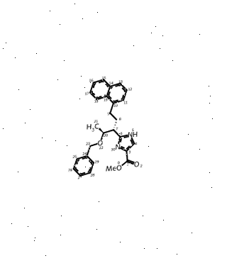 COC(=O)c1c[nH]c([C@@H](CCc2cccc3ccccc23)[C@H](C)OCc2ccccc2)n1